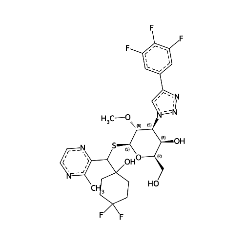 CO[C@@H]1[C@@H](n2cc(-c3cc(F)c(F)c(F)c3)nn2)[C@@H](O)[C@@H](CO)O[C@H]1SC(c1nccnc1C)C1(O)CCC(F)(F)CC1